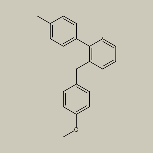 COc1ccc(Cc2ccc[c]c2-c2ccc(C)cc2)cc1